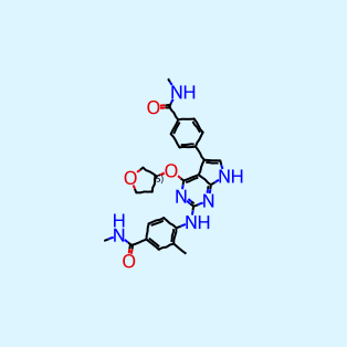 CNC(=O)c1ccc(-c2c[nH]c3nc(Nc4ccc(C(=O)NC)cc4C)nc(O[C@H]4CCOC4)c23)cc1